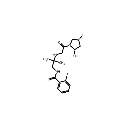 CC(C)(CNC(=O)c1ccccc1F)NCC(=O)N1C[C@@H](F)C[C@H]1C#N